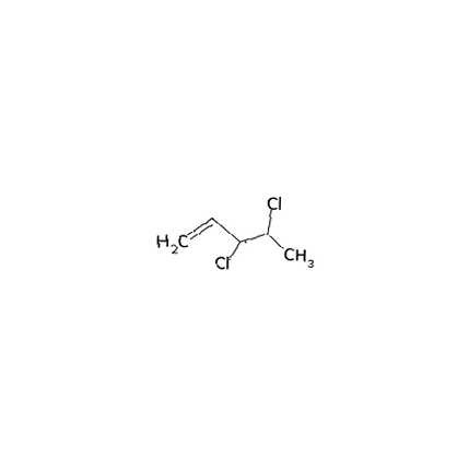 C=C[C](Cl)C(C)Cl